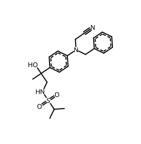 CC(C)S(=O)(=O)NCC(C)(O)c1ccc(N(CC#N)Cc2ccccc2)cc1